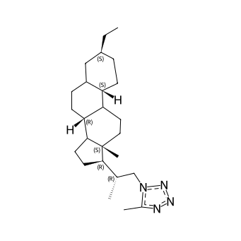 CC[C@H]1CC[C@H]2C(CC[C@@H]3C2CC[C@@]2(C)C3CC[C@@H]2[C@@H](C)Cn2nnnc2C)C1